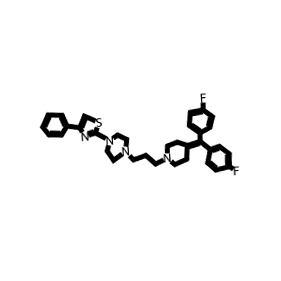 Fc1ccc(C(=C2CCN(CCCN3CCN(c4nc(-c5ccccc5)cs4)CC3)CC2)c2ccc(F)cc2)cc1